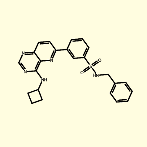 O=S(=O)(NCc1ccccc1)c1cccc(-c2ccc3ncnc(NC4CCC4)c3n2)c1